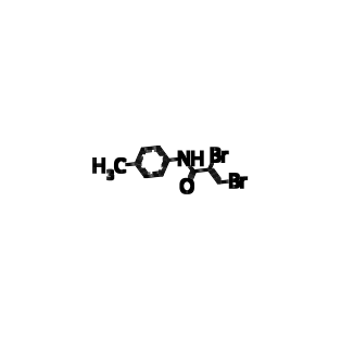 Cc1ccc(NC(=O)C(Br)=CBr)cc1